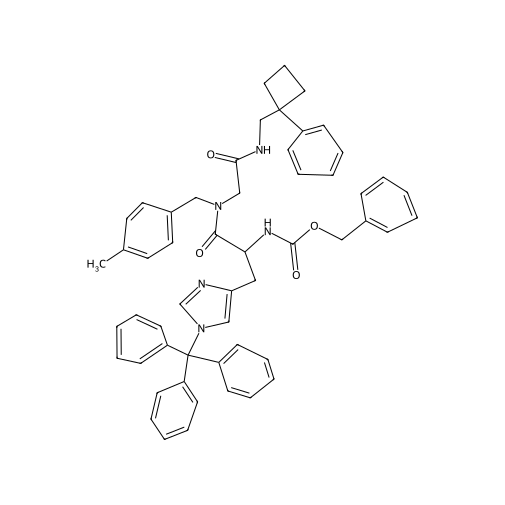 Cc1ccc(CN(CC(=O)NCC2(c3ccccc3)CCC2)C(=O)C(Cc2cn(C(c3ccccc3)(c3ccccc3)c3ccccc3)cn2)NC(=O)OCc2ccccc2)cc1